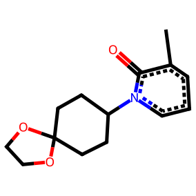 Cc1cccn(C2CCC3(CC2)OCCO3)c1=O